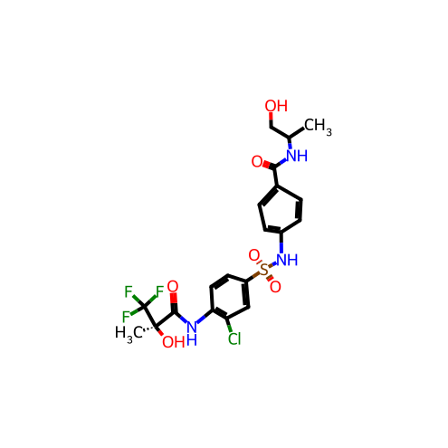 CC(CO)NC(=O)c1ccc(NS(=O)(=O)c2ccc(NC(=O)[C@@](C)(O)C(F)(F)F)c(Cl)c2)cc1